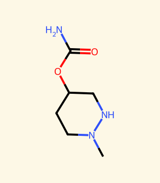 CN1CCC(OC(N)=O)CN1